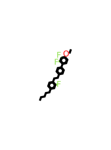 CCCCCc1ccc(CCc2ccc(-c3ccc(OCC)c(F)c3F)cc2)c(F)c1